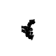 CO[C@@H]1[C@@H](n2cc(-c3ccc(F)c(F)c3F)nn2)[C@@H](O)[C@@H](CO)O[C@@H]1Cc1cn(C2(CO)CCC2)nn1